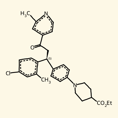 CCOC(=O)C1CCN(c2ccc([C@H](CC(=O)c3ccnc(C)c3)c3ccc(Cl)cc3C)cc2)CC1